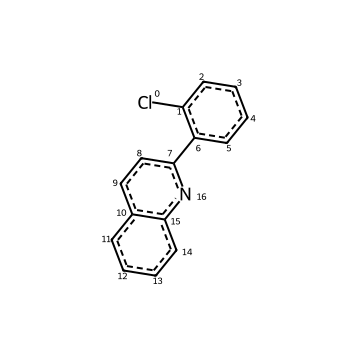 Clc1ccccc1-c1ccc2ccccc2n1